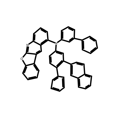 c1ccc(-c2cccc(N(c3ccc(-c4ccccc4)c(-c4ccc5ccccc5c4)c3)c3cccc4nc5oc6ccccc6c5cc34)c2)cc1